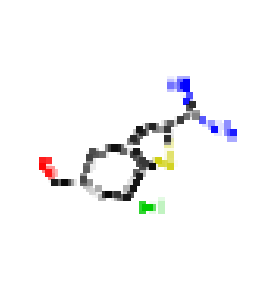 Cl.N=C(N)c1cc2cc(C=O)ccc2s1